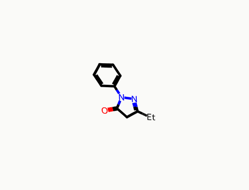 CCC1=NN(c2ccccc2)C(=O)C1